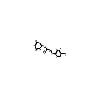 Cc1ccc(C=CC(=O)Oc2ccccc2)cc1